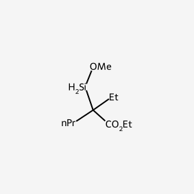 CCCC(CC)([SiH2]OC)C(=O)OCC